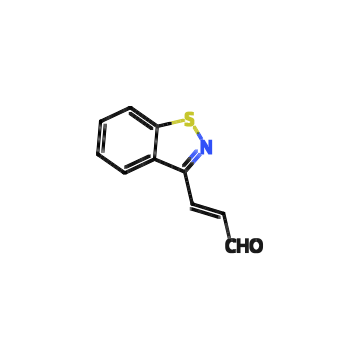 O=C/C=C/c1nsc2ccccc12